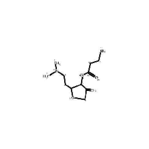 CN(C)CCC1OCC(=O)C1NC(=O)[CH]CC(C)(C)C